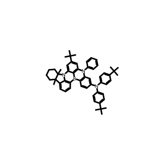 CC(C)(C)c1ccc(N(c2ccc(C(C)(C)C)cc2)c2ccc3c(c2)N(c2ccccc2)c2cc(C(C)(C)C)cc4c2B3c2cccc3c2N4C2(C)CCCCC32C)cc1